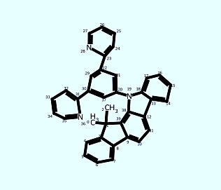 CC1(C)c2ccccc2-c2ccc3c4ccccc4n(-c4cc(-c5ccccn5)cc(-c5ccccn5)c4)c3c21